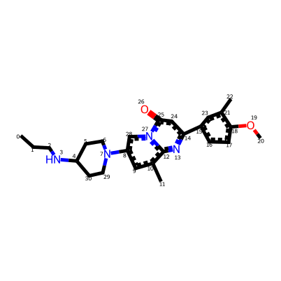 CCCNC1CCN(c2cc(C)c3nc(-c4ccc(OC)c(C)c4)cc(=O)n3c2)CC1